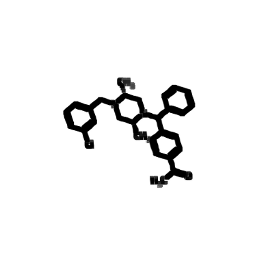 CC(=O)c1ccc(C(c2ccccc2)N2C[C@@H](C)N(Cc3cccc(Cl)c3)C[C@@H]2C)cc1